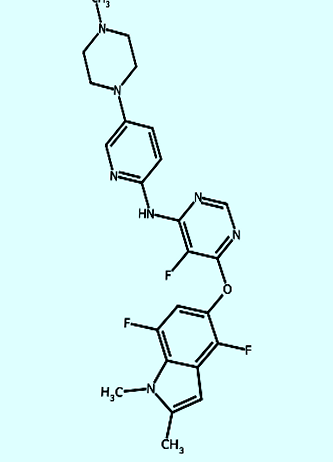 Cc1cc2c(F)c(Oc3ncnc(Nc4ccc(N5CCN(C)CC5)cn4)c3F)cc(F)c2n1C